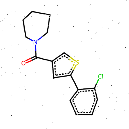 O=C(c1csc(-c2ccccc2Cl)c1)N1CCCCC1